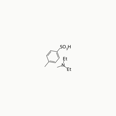 CCN(C)CC.Cc1ccc(S(=O)(=O)O)cc1